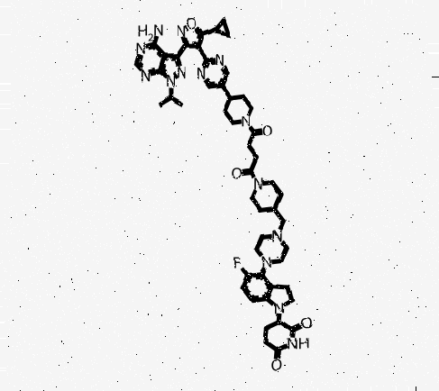 CC(C)n1nc(-c2noc(C3CC3)c2-c2ncc(C3CCN(C(=O)CCC(=O)N4CCC(CN5CCN(c6c(F)ccc7c6CCN7C6CCC(=O)NC6=O)CC5)CC4)CC3)cn2)c2c(N)ncnc21